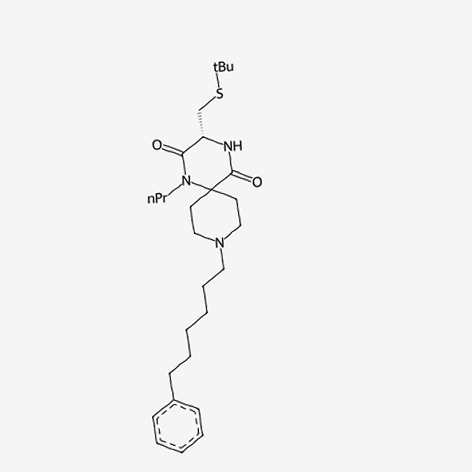 CCCN1C(=O)[C@H](CSC(C)(C)C)NC(=O)C12CCN(CCCCCCc1ccccc1)CC2